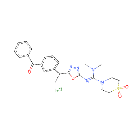 CC(c1cccc(C(=O)c2ccccc2)c1)c1nnc(/N=C(\N(C)C)N2CCS(=O)(=O)CC2)o1.Cl